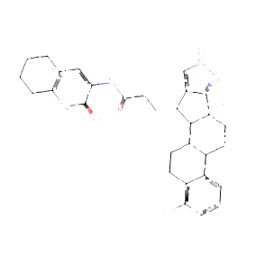 C[C@]12CCC3c4cccc(F)c4CCC3C1[C@H](CCC(=O)Nc1cc3c([nH]c1=O)CCCC3)c1c[nH]nc12